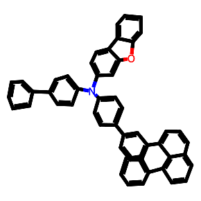 c1ccc(-c2ccc(N(c3ccc(-c4cccc(-c5cccc6cccc(-c7ccccc7)c56)c4)cc3)c3ccc4c(c3)oc3ccccc34)cc2)cc1